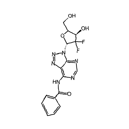 O=C(Nc1ncnc2c1nnn2[C@@H]1OC(CO)[C@@H](O)C1(F)F)c1ccccc1